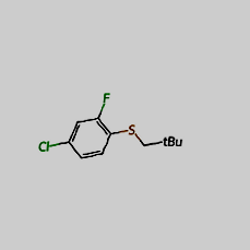 CC(C)(C)CSc1ccc(Cl)cc1F